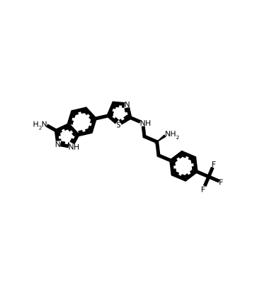 Nc1n[nH]c2cc(-c3cnc(NC[C@@H](N)Cc4ccc(C(F)(F)F)cc4)s3)ccc12